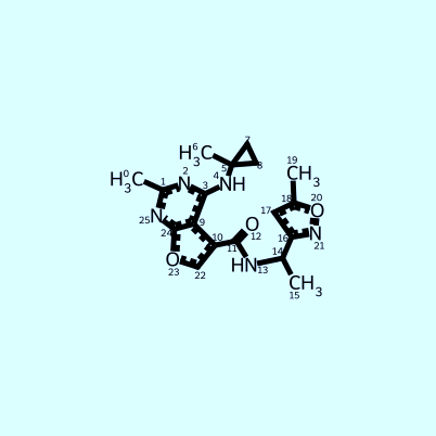 Cc1nc(NC2(C)CC2)c2c(C(=O)NC(C)c3cc(C)on3)coc2n1